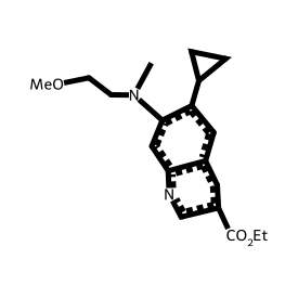 CCOC(=O)c1cnc2cc(N(C)CCOC)c(C3CC3)cc2c1